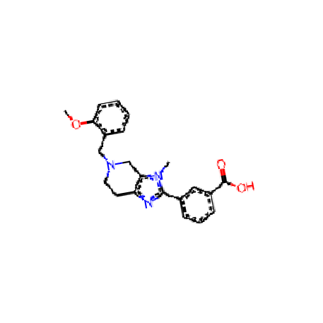 COc1ccccc1CN1CCc2nc(-c3cccc(C(=O)O)c3)n(C)c2C1